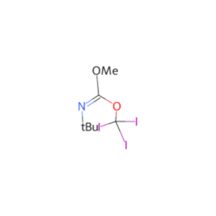 COC(=NC(C)(C)C)OC(I)(I)I